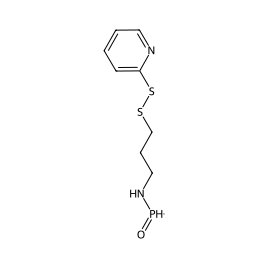 O=[PH]NCCCSSc1ccccn1